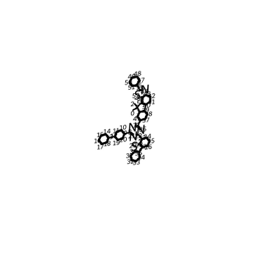 CC1(C)c2cc(-c3nc(-c4ccc(-c5ccccc5)cc4)nc(-c4cccc5c4sc4ccccc45)n3)ccc2-c2ccc3nc(-c4ccccc4)sc3c21